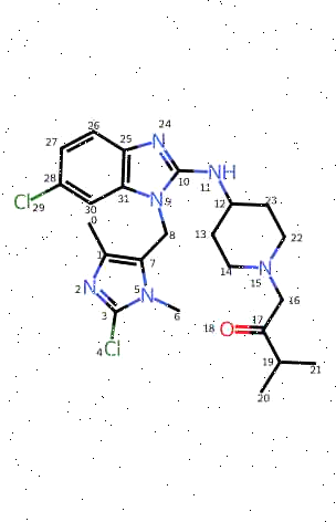 Cc1nc(Cl)n(C)c1Cn1c(NC2CCN(CC(=O)C(C)C)CC2)nc2ccc(Cl)cc21